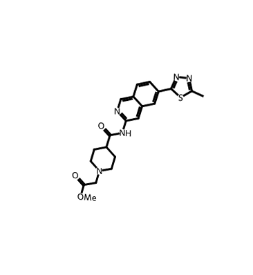 COC(=O)CN1CCC(C(=O)Nc2cc3cc(-c4nnc(C)s4)ccc3cn2)CC1